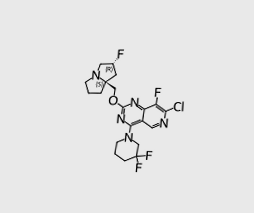 Fc1c(Cl)ncc2c(N3CCCC(F)(F)C3)nc(OC[C@@]34CCCN3C[C@H](F)C4)nc12